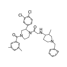 Cc1cc(C)cc(C(=O)N2CCN(C(=O)CNC3CCN(Cc4ccccc4)CC3C)C(c3ccc(Cl)c(Cl)c3)C2)c1